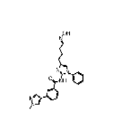 Cn1cc(-c2cccc(C(=O)Nc3nc(CCCC=NO)cn3-c3ccccc3)c2)cn1